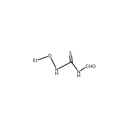 CCONC(=S)NC=O